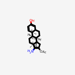 CC(=O)OC1=C(N)[C@@]2(C)CC[C@@H]3[C@@H](CCC4C=C(O)C=C[C@@]43C)[C@@H]2C1